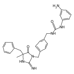 CC1(Cc2ccccc2)NC(=N)N(Cc2ccc(CNC(=O)Nc3cccc(N)c3)cc2)C1=O